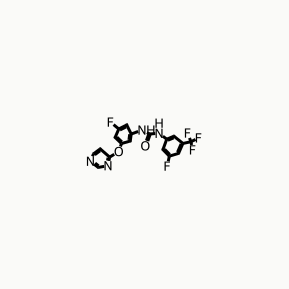 O=C(Nc1cc(F)cc(Oc2ccncn2)c1)Nc1cc(F)cc(C(F)(F)F)c1